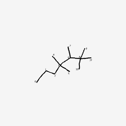 CC[CH]C(C)(C)C(C)C(C)(C)C